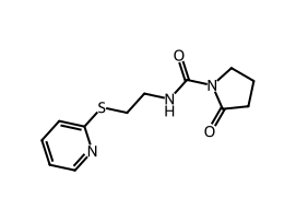 O=C1CCCN1C(=O)NCCSc1ccccn1